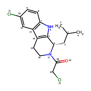 CC(C)C[C@H]1c2[nH]c3ccc(Cl)cc3c2CCN1C(=O)CCl